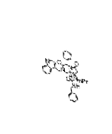 CCCN(C(=O)NCc1ccccc1)N1CC(=O)N2[C@@H](c3ccccc3)C(=O)N(Cc3ccnc4ccccc34)C[C@@H]21